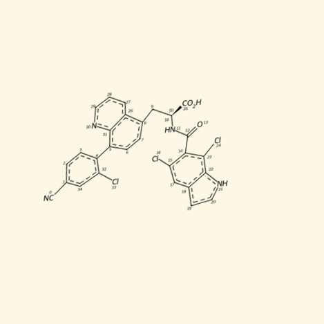 N#Cc1ccc(-c2ccc(C[C@H](NC(=O)c3c(Cl)cc4cc[nH]c4c3Cl)C(=O)O)c3cccnc23)c(Cl)c1